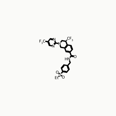 CCS(=O)(=O)c1ccc(CNC(=O)c2ccc3c(c2)CN(c2ncc(C(F)(F)F)cn2)C[C@H]3C(F)(F)F)cc1